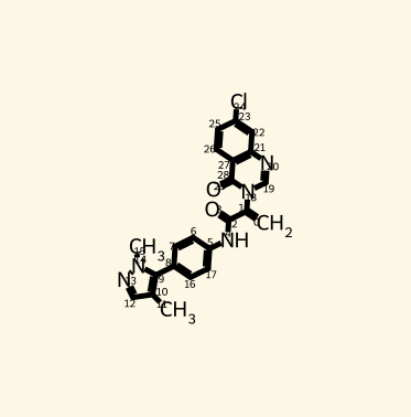 C=C(C(=O)Nc1ccc(-c2c(C)cnn2C)cc1)n1cnc2cc(Cl)ccc2c1=O